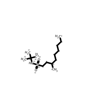 CCCCCCC(C)CCS(=O)(=O)NC(C)(C)C